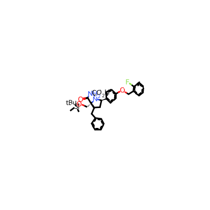 CC(C)(C)[Si](C)(C)OC[C@@]1(C(N)=O)C(Cc2ccccc2)C[C@H](c2ccc(OCc3ccccc3F)cc2)N1C(=O)O